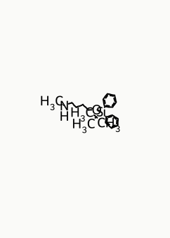 CNCCCCO[Si](c1ccccc1)(c1ccccc1)C(C)(C)C